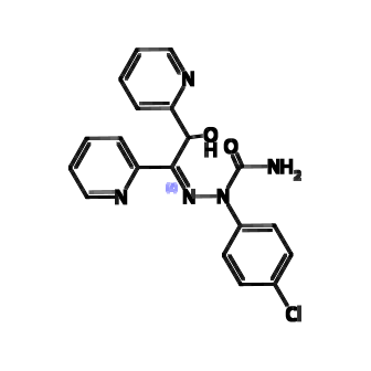 NC(=O)N(/N=C(/c1ccccn1)C(O)c1ccccn1)c1ccc(Cl)cc1